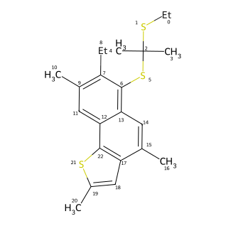 CCSC(C)(C)Sc1c(CC)c(C)cc2c1cc(C)c1cc(C)sc12